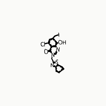 O=c1c2c(Cl)cc(CI)c(O)c2ncn1Cc1nc2ccccc2s1